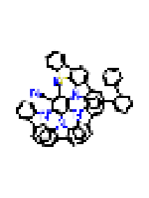 N#Cc1c(C#N)c(-n2c3ccc(-c4ccccc4-c4ccccc4)cc3c3ccc4c5ccccc5sc4c32)c(-n2c3ccccc3c3ccccc32)c(-n2c3ccccc3c3ccccc32)c1-n1c2ccccc2c2ccccc21